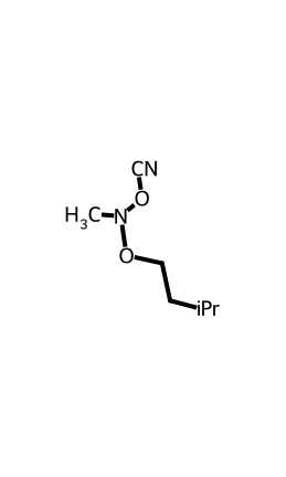 CC(C)CCON(C)OC#N